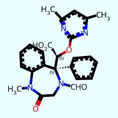 Cc1cc(C)nc(O[C@H](C(=O)O)[C@]2(c3ccccc3)c3ccccc3N(C)C(=O)CN2C=O)n1